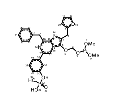 COP(OC)OCOc1c(Cc2ccco2)nc2c(Cc3ccccc3)nc(-c3cccc(OP(=O)(O)O)c3)cn12